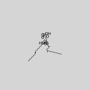 CCCCCCCCC#CCCCCCCCCNC(=O)OC(CCC(=O)C1=C(O)COC1=O)COC/C=C(\C)CC/C=C(/C)CCCCCCCCCCC